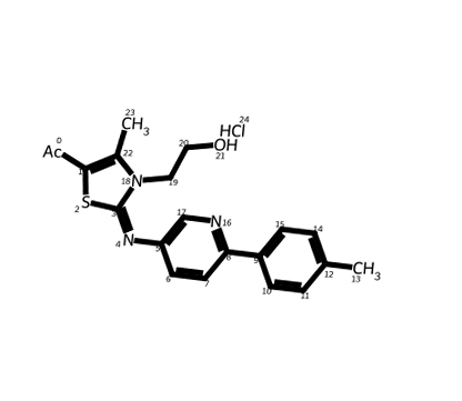 CC(=O)c1sc(=Nc2ccc(-c3ccc(C)cc3)nc2)n(CCO)c1C.Cl